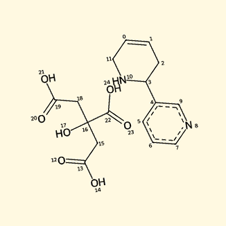 C1=CCC(c2cccnc2)NC1.O=C(O)CC(O)(CC(=O)O)C(=O)O